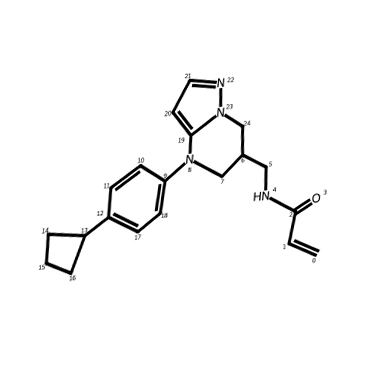 C=CC(=O)NCC1CN(c2ccc(C3CCC3)cc2)c2ccnn2C1